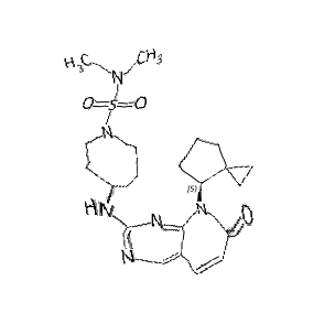 CN(C)S(=O)(=O)N1CCC(Nc2ncc3ccc(=O)n([C@H]4CCCC45CC5)c3n2)CC1